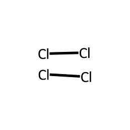 ClCl.ClCl